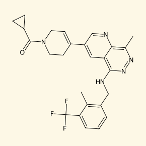 Cc1c(CNc2nnc(C)c3ncc(C4=CCN(C(=O)C5CC5)CC4)cc23)cccc1C(F)(F)F